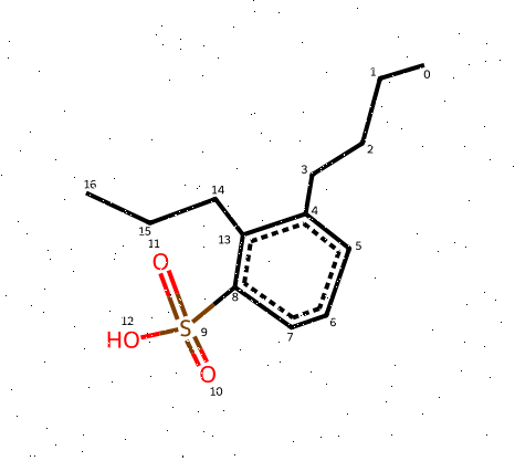 CCCCc1cccc(S(=O)(=O)O)c1CCC